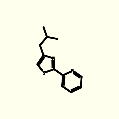 CC(C)Cc1csc(-c2ccccn2)n1